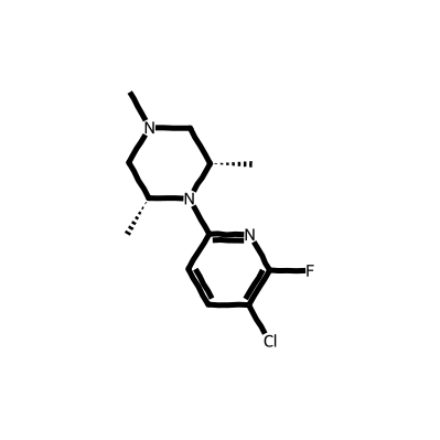 C[C@@H]1CN(C)C[C@H](C)N1c1ccc(Cl)c(F)n1